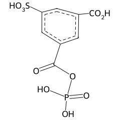 O=C(O)c1cc(C(=O)OP(=O)(O)O)cc(S(=O)(=O)O)c1